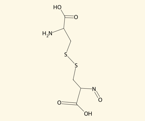 NC(CSSCC(N=O)C(=O)O)C(=O)O